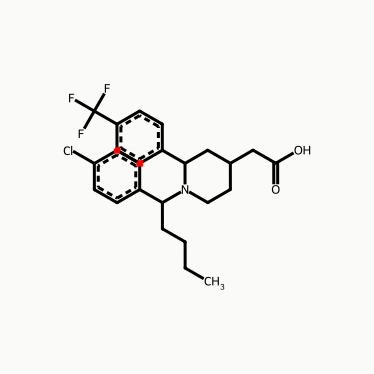 CCCCC(c1ccc(Cl)cc1)N1CCC(CC(=O)O)CC1c1ccc(C(F)(F)F)cc1